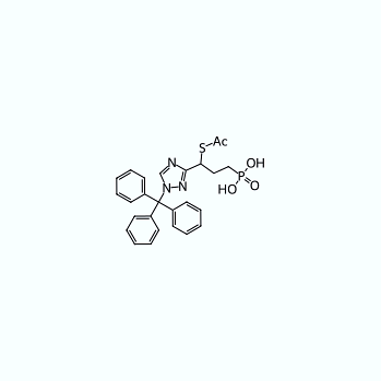 CC(=O)SC(CCP(=O)(O)O)c1ncn(C(c2ccccc2)(c2ccccc2)c2ccccc2)n1